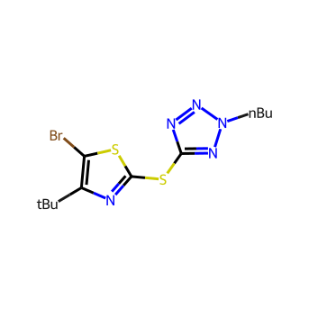 CCCCn1nnc(Sc2nc(C(C)(C)C)c(Br)s2)n1